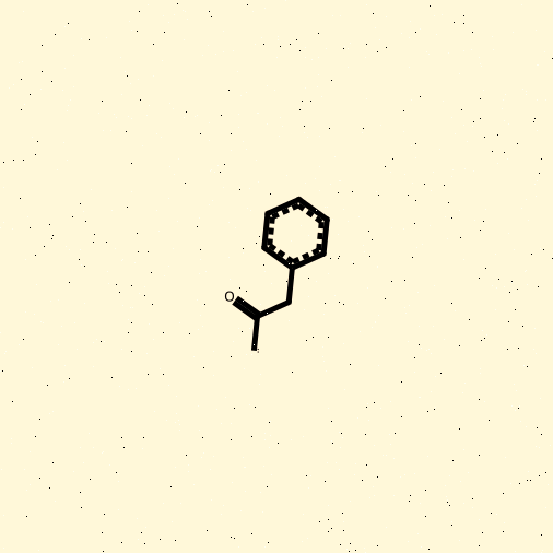 [CH]C(=O)Cc1ccccc1